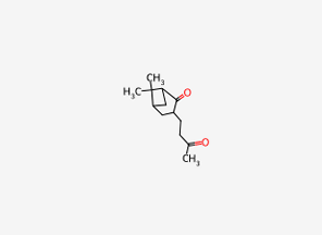 CC(=O)CCC1CC2CC(C1=O)C2(C)C